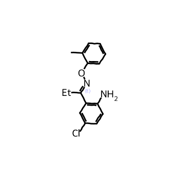 CC/C(=N\Oc1ccccc1C)c1cc(Cl)ccc1N